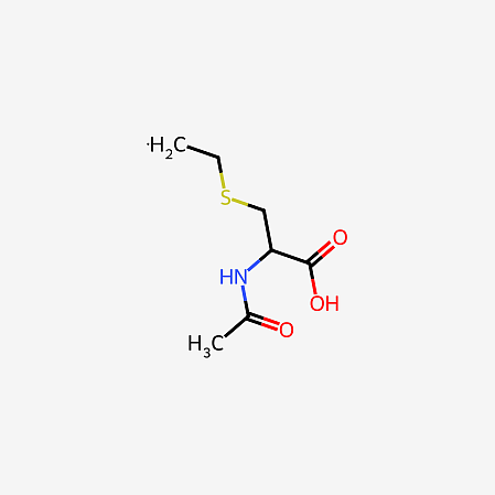 [CH2]CSCC(NC(C)=O)C(=O)O